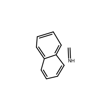 C=N.c1ccc2ccccc2c1